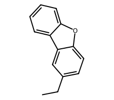 CCc1ccc2oc3ccccc3c2c1